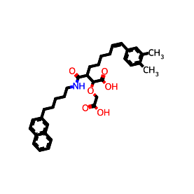 Cc1ccc(/C=C\CCCCC(C(=O)NCCCCCc2ccc3ccccc3c2)C(OCC(=O)O)C(=O)O)cc1C